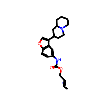 C/C=C/COC(=O)Nc1ccc2occ(C3CCN4CCCCC4C3)c2c1